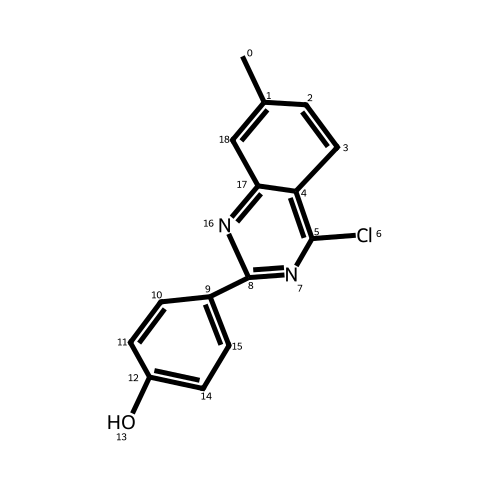 Cc1ccc2c(Cl)nc(-c3ccc(O)cc3)nc2c1